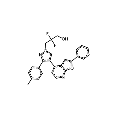 Cc1ccc(-c2nn(CC(F)(F)CO)cc2-c2ncnc3oc(-c4ccccc4)cc23)cc1